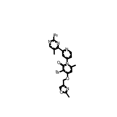 Cc1nc(COc2cc(C)n(-c3ccnc(-c4nc(C(C)C)ncc4C)c3)c(=O)c2Br)co1